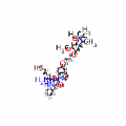 COc1cc(C(=O)N(C(C)C)C(C)C)ccc1OCCCCOc1ccc2c(NC(=O)C(Cc3ccccc3)NC(=O)C(N)CCCS)noc2c1